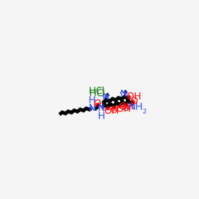 CCCCCCCCCCCNCC(=O)Nc1cc(N(C)C)c2c(c1O)C(=O)C1=C(O)[C@]3(O)C(=O)C(C(N)=O)=C(O)[C@@H](N(C)C)C3CC1C2.Cl.Cl